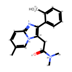 Cc1ccc2nc(-c3ccccc3C(=O)O)c(CC(=O)N(C)C)n2c1